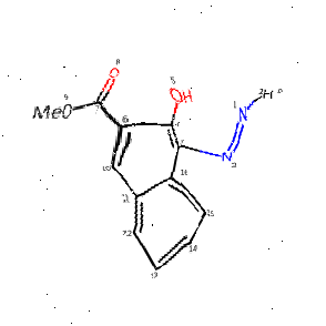 [2H]N=Nc1c(O)c(C(=O)OC)cc2ccccc12